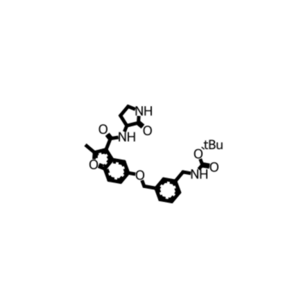 Cc1oc2ccc(OCc3cccc(CNC(=O)OC(C)(C)C)c3)cc2c1C(=O)NC1CCNC1=O